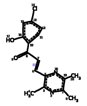 Cc1nc(C)c(/C=C/C(=O)c2ccc(Cl)cc2O)nc1C